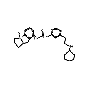 O=C(Nc1cc(CCNC2CCCCC2)ccn1)Nc1cccc2c1CC1CCC[N+]21[O-]